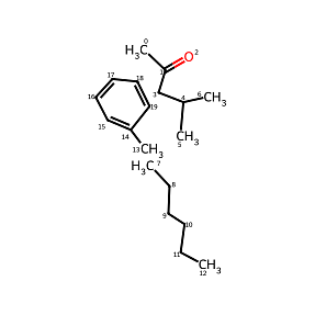 CC(=O)CC(C)C.CCCCCC.Cc1ccccc1